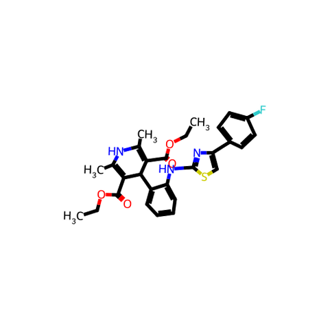 CCOC(=O)C1=C(C)NC(C)=C(C(=O)OCC)C1c1ccccc1Nc1nc(-c2ccc(F)cc2)cs1